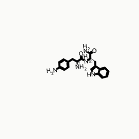 NC(=O)[C@H](Cc1c[nH]c2ccccc12)NC(=O)[C@@H](N)Cc1ccc(N)cc1